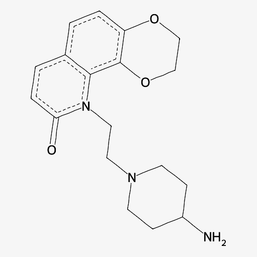 NC1CCN(CCn2c(=O)ccc3ccc4c(c32)OCCO4)CC1